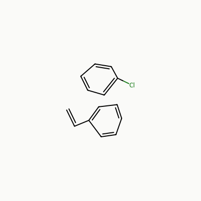 C=Cc1ccccc1.Clc1ccccc1